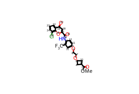 COC(=O)C1CC(OCCOc2ccc(NC(=O)c3cc(=O)c4cccc(Cl)c4o3)c(C(F)(F)F)c2)C1